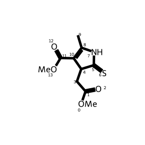 COC(=O)CC1C(=S)NC(C)=C1C(=O)OC